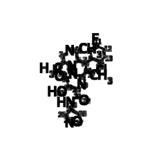 Cc1cnc(C)c([C@@H](c2cc(F)ccc2Cl)[C@H](C)c2nc(C(=O)Nc3cnoc3)c(O)c(=O)n2C)n1